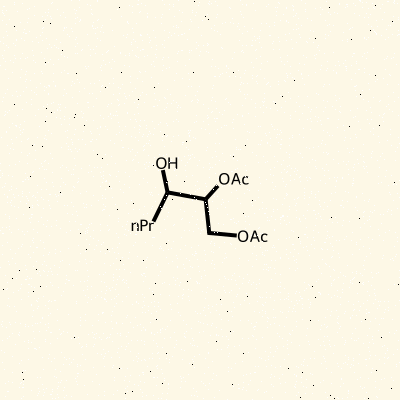 CCCC(O)C(COC(C)=O)OC(C)=O